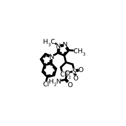 Cc1nn(C)c(-n2ccc3cc(Cl)ccc32)c1C(CC(F)(F)F)CS(=O)(=O)OC(N)=O